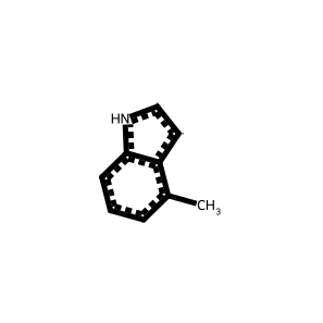 Cc1cccc2[nH][c][c]c12